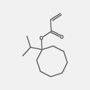 C=CC(=O)OC1(C(C)C)CCCCCCC1